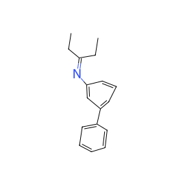 CCC(CC)=Nc1cccc(-c2ccccc2)c1